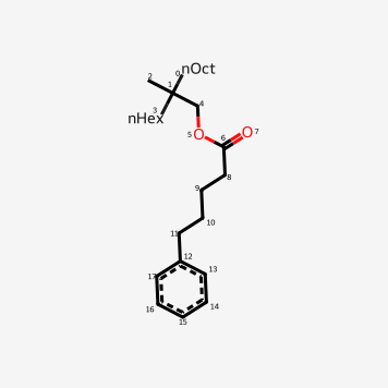 CCCCCCCCC(C)(CCCCCC)COC(=O)CCCCc1ccccc1